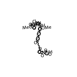 COc1cc(N2CCC(N3CCN(C(=O)CCCCOc4cccc5c4CN(C4CCC(=O)NC4=O)C5=O)CC3)CC2)ccc1Nc1ncc(Cl)c(Nc2ccccc2P(=O)(OC)OC)n1